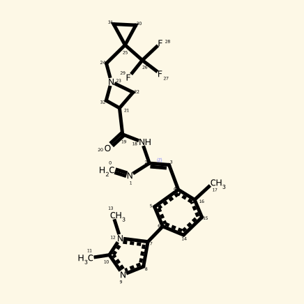 C=N/C(=C\c1cc(-c2cnc(C)n2C)ccc1C)NC(=O)C1CN(CC2(C(F)(F)F)CC2)C1